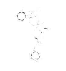 CN(C)[C@]1(c2ccccc2)CC[C@@]2(CC1)CC(=O)N(CC(=O)NCc1ccncc1)C2